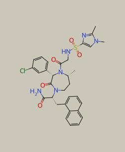 Cc1nc(S(=O)(=O)NCC(=O)N2[C@H](C)CCN([C@H](Cc3cccc4ccccc34)C(N)=O)C(=O)[C@@H]2c2cccc(Cl)c2)cn1C